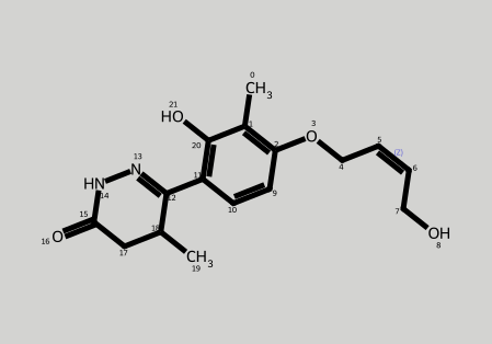 Cc1c(OC/C=C\CO)ccc(C2=NNC(=O)CC2C)c1O